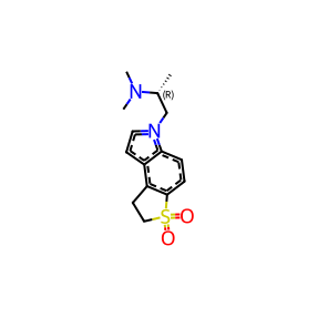 C[C@H](Cn1ccc2c3c(ccc21)S(=O)(=O)CC3)N(C)C